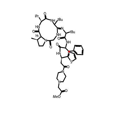 COC(=O)CN1CCN(C(=O)C[C@@H](NC(=O)C(NC(=O)C(/N=C2\NCC(=O)N3CC[C@@H](C)[C@H]3C(=O)N[C@@H](C(C)C)C(=O)NC2C(C)(C)C)C(C)(C)C)[C@@H](C)c2ccccc2)c2nccs2)CC1